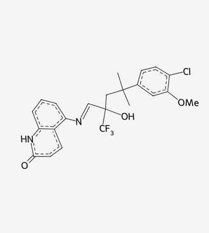 COc1cc(C(C)(C)CC(O)(C=Nc2cccc3[nH]c(=O)ccc23)C(F)(F)F)ccc1Cl